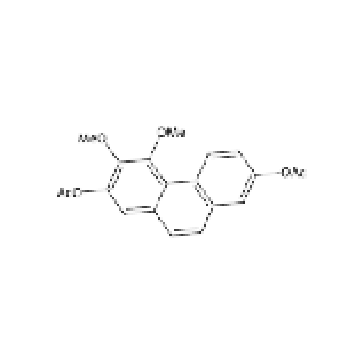 COc1c(OC(C)=O)cc2ccc3cc(OC(C)=O)ccc3c2c1OC